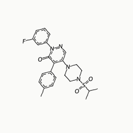 Cc1ccc(-c2c(N3CCN(S(=O)(=O)C(C)C)CC3)cnn(-c3cccc(F)c3)c2=O)cc1